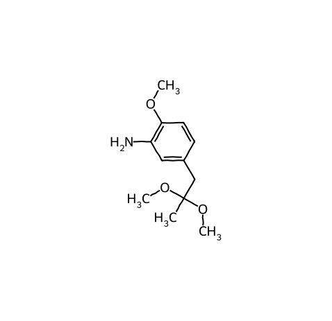 COc1ccc(CC(C)(OC)OC)cc1N